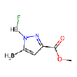 Bc1cc(C(=O)OC)nn1BF